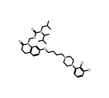 CC(C)CN(C(=O)OCN1C(=O)CCc2ccc(OCCCCN3CCN(c4cccc(Cl)c4Cl)CC3)cc21)C(C)C(C)C